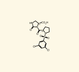 O=C(O)[C@@H]1CNC(=O)N1C(=O)[C@H]1CCCN1S(=O)(=O)c1cc(Cl)cc(Cl)c1